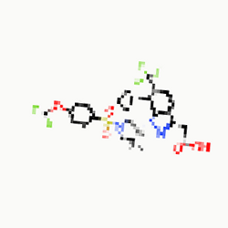 C[C@@H]1CN(S(=O)(=O)c2ccc(OC(F)F)cc2)C[C@@H]1n1nc(CC(=O)O)c2ccc(C(F)(F)F)c(C3CCC3)c21